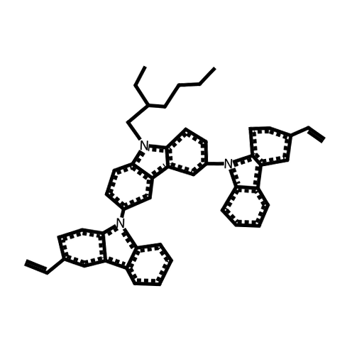 C=Cc1ccc2c(c1)c1ccccc1n2-c1ccc2c(c1)c1cc(-n3c4ccccc4c4cc(C=C)ccc43)ccc1n2CC(CC)CCCC